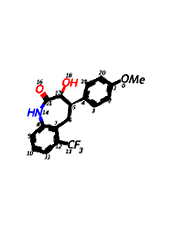 COc1ccc([C@H]2Cc3c(cccc3C(F)(F)F)NC(=O)[C@H]2O)cc1